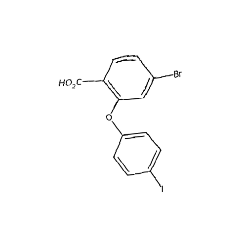 O=C(O)c1ccc(Br)cc1Oc1ccc(I)cc1